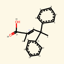 C/C(=C\C(C)(c1ccccc1)c1ccccc1)C(=O)O